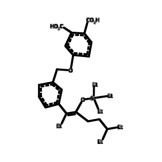 CCC(=C(CCC(CC)CC)O[Si](CC)(CC)CC)c1cccc(COc2ccc(C(=O)O)c(C(=O)O)c2)c1